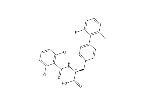 O=C(N[C@@H](Cc1ccc(-c2c(F)cccc2F)cc1)C(=O)O)c1c(Cl)cccc1Cl